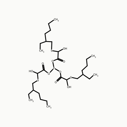 CCCCC(CC)CSC(O)C(=O)OP(OC(=O)C(O)SCC(CC)CCCC)OC(=O)C(O)SCC(CC)CCCC